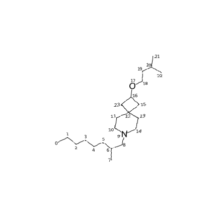 CCCCCCC(C)CN1CCC2(CC1)CC(OCCC(C)C)C2